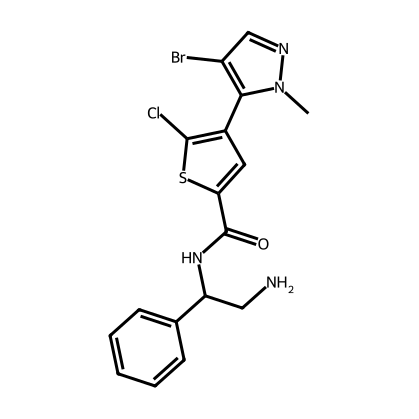 Cn1ncc(Br)c1-c1cc(C(=O)NC(CN)c2ccccc2)sc1Cl